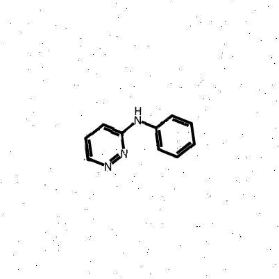 [c]1ccc(Nc2ccccc2)nn1